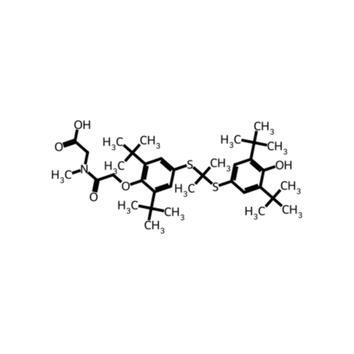 CN(CC(=O)O)C(=O)COc1c(C(C)(C)C)cc(SC(C)(C)Sc2cc(C(C)(C)C)c(O)c(C(C)(C)C)c2)cc1C(C)(C)C